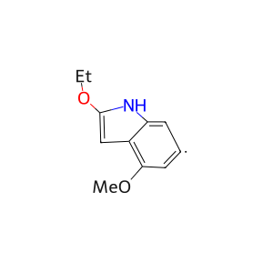 CCOc1cc2c(OC)c[c]cc2[nH]1